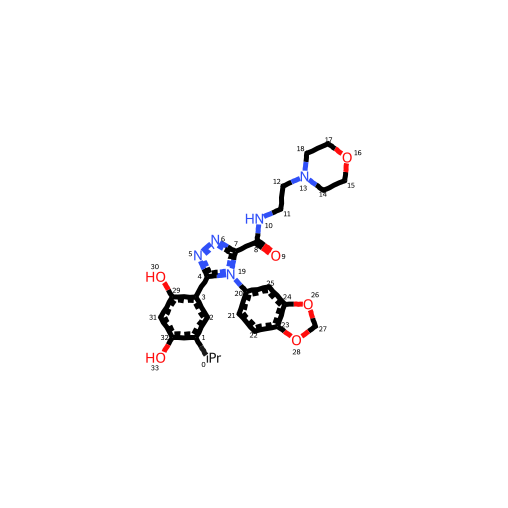 CC(C)c1cc(-c2nnc(C(=O)NCCN3CCOCC3)n2-c2ccc3c(c2)OCO3)c(O)cc1O